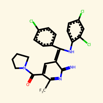 N=C1N=C(C(F)(F)F)C(C(=O)N2CCCC2)=C/C1=C(/Nc1ccc(Cl)cc1Cl)c1ccc(Cl)cc1